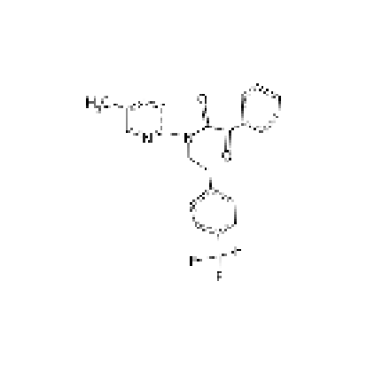 Cc1ccc(N(CCc2ccc(C(F)(F)F)cc2)C(=O)C(=O)c2ccccc2)nc1